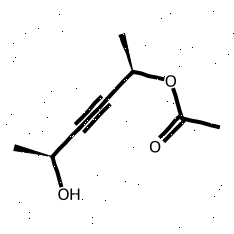 CC(=O)O[C@H](C)C#C[C@H](C)O